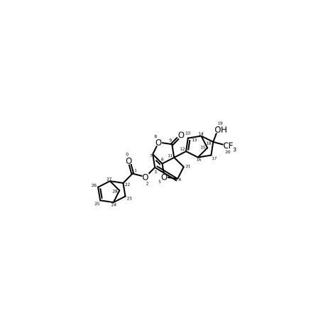 O=C(Oc1c2oc3c1OC(=O)C3(C1=CC3CC1CC3(O)C(F)(F)F)C2)C1CC2C=CC1C2